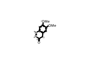 COc1cc2c(cc1OC)N=NC(=O)C2